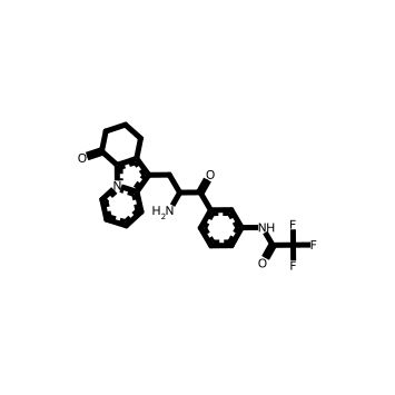 NC(Cc1c2c(n3ccccc13)C(=O)CCC2)C(=O)c1cccc(NC(=O)C(F)(F)F)c1